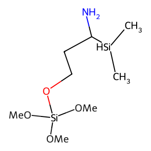 CO[Si](OC)(OC)OCCC(N)[SiH](C)C